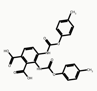 Cc1ccc(OC(=O)Nc2ccc(C(=O)O)c(C(=O)O)c2NC(=O)Oc2ccc(C)cc2)cc1